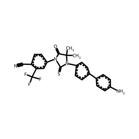 CC1(C)C(=O)N(c2ccc(C#N)c(C(F)(F)F)c2)C(=S)N1c1ccc(-c2ccc(N)cc2)cc1